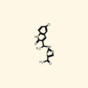 CC(Nc1ncc(C(N)=O)s1)c1cc2cc(Cl)ccc2[nH]c1=O